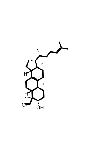 CC(C)=CCC[C@@H](C)[C@H]1CC[C@H]2C3=C(CC[C@]12C)[C@@]1(C)CC[C@H](O)[C@@](C)(C=O)[C@@H]1CC3